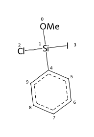 CO[Si](Cl)(I)c1ccccc1